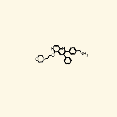 NCc1ccc(-c2nc3ccnc(OCCN4CCOCC4)c3cc2-c2ccccc2)cc1